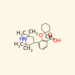 CC1(C)CC(c2cccc(C(=O)O)c2OC2(C)CCCCC2)CC(C)(C)N1